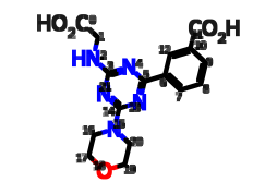 O=C(O)CNc1nc(-c2cccc(C(=O)O)c2)nc(N2CCOCC2)n1